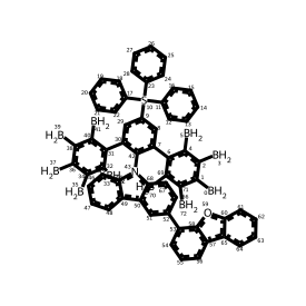 Bc1c(B)c(B)c(-c2cc(S(c3ccccc3)(c3ccccc3)c3ccccc3)cc(-c3c(B)c(B)c(B)c(B)c3B)c2-n2c3ccccc3c3cc(-c4cccc5c4oc4ccccc45)ccc32)c(B)c1B